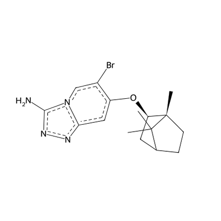 CC1(C)C2CC[C@@]1(C)[C@H](Oc1cc3nnc(N)n3cc1Br)C2